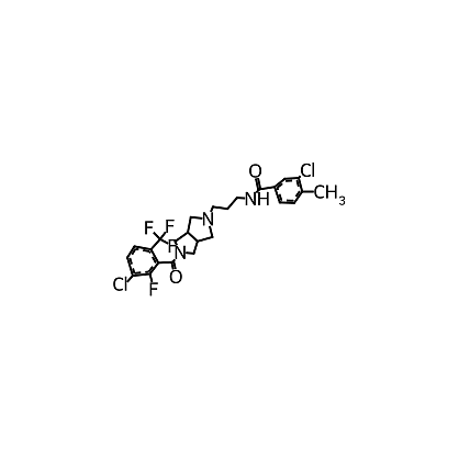 Cc1ccc(C(=O)NCCCN2CC3CN(C(=O)c4c(C(F)(F)F)ccc(Cl)c4F)CC3C2)cc1Cl